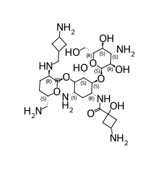 NC[C@@H]1CC[C@@H](NCC2CC(N)C2)[C@@H](OC2[C@@H](N)C[C@@H](NC(=O)C3(O)CC(N)C3)[C@H](O[C@H]3O[C@H](CO)[C@@H](O)[C@H](N)[C@H]3O)[C@H]2O)O1